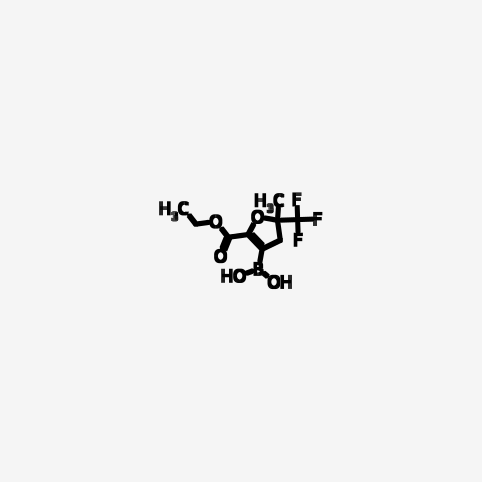 CCOC(=O)C1=C(B(O)O)CC(C)(C(F)(F)F)O1